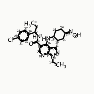 CCC(NC(=O)c1cnc2c(cnn2CC)c1NC1CCC(=NO)CC1)c1ccc(Cl)cc1